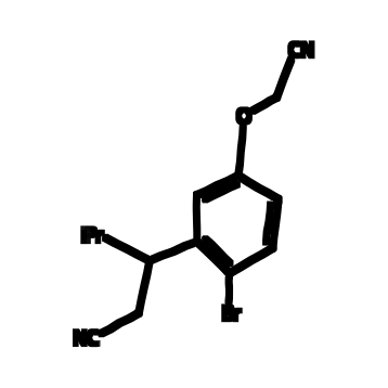 CC(C)C(CC#N)c1cc(OCC#N)ccc1Br